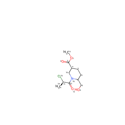 COC(=O)C1CCC(CO)N(C(=O)[C@@H](C)Cl)C1